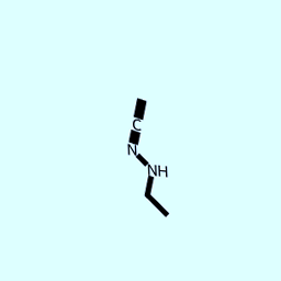 C=C=NNCC